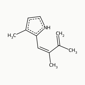 C=C(C)/C(C)=C\c1[nH]ccc1C